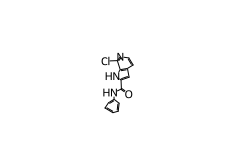 O=C(Nc1ccccc1)c1cc2ccnc(Cl)c2[nH]1